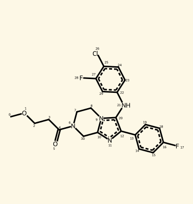 COCCC(=O)N1CCn2c(nc(-c3ccc(F)cc3)c2Nc2ccc(Cl)c(F)c2)C1